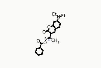 CCN(CC)c1ccc2cc(/C(C)=N/OC(=O)c3ccccc3)c(=O)oc2c1